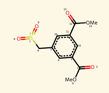 COC(=O)c1cc(C[SH](=O)=O)cc(C(=O)OC)c1